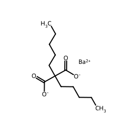 CCCCCC(CCCCC)(C(=O)[O-])C(=O)[O-].[Ba+2]